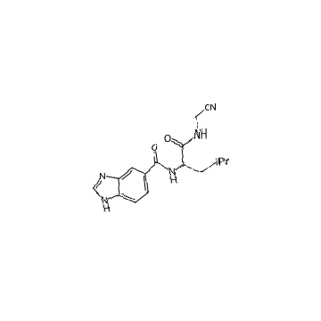 CC(C)CC(NC(=O)c1ccc2[nH]cnc2c1)C(=O)NCC#N